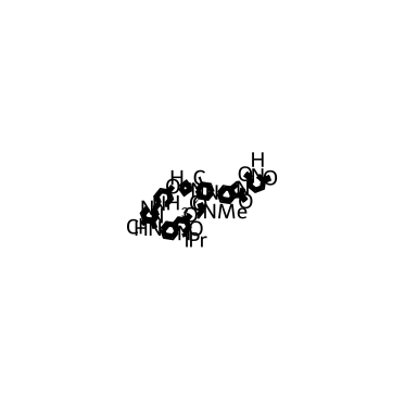 CNC(=O)COc1cc2cc(Nc3nc(N4CCC(OC5CC(N6[C@@H](C)CN(c7ccc8c(c7)CN([C@@H]7CCC(=O)NC7=O)C8=O)C[C@@H]6C)C5)CC4)ncc3Cl)ccc2n(C(C)C)c1=O